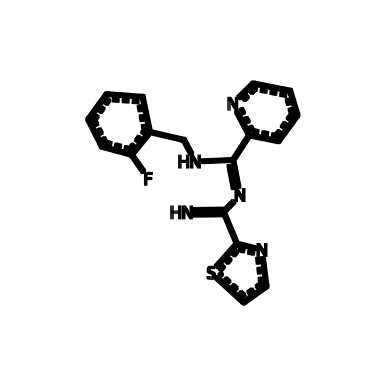 N=C(/N=C(\NCc1ccccc1F)c1ccccn1)c1nccs1